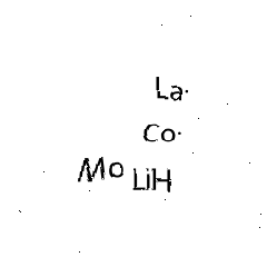 [Co].[La].[LiH].[Mo]